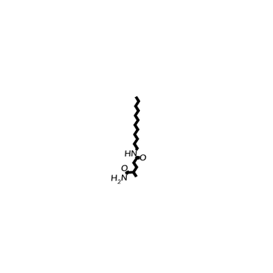 CCCCCCCCCCCCNC(=O)CCC(C)C(N)=O